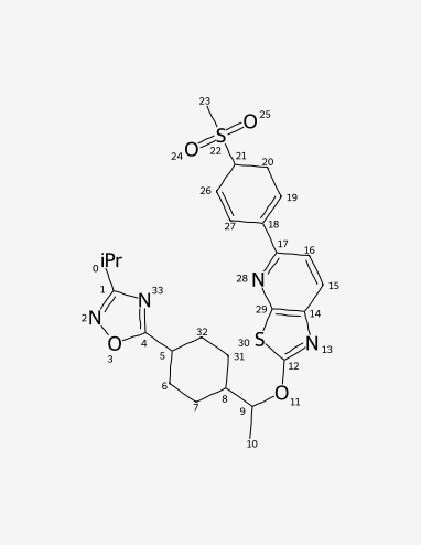 CC(C)c1noc(C2CCC(C(C)Oc3nc4ccc(C5=CCC(S(C)(=O)=O)C=C5)nc4s3)CC2)n1